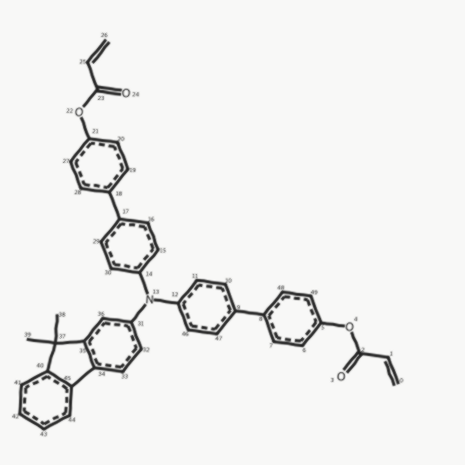 C=CC(=O)Oc1ccc(-c2ccc(N(c3ccc(-c4ccc(OC(=O)C=C)cc4)cc3)c3ccc4c(c3)C(C)(C)c3ccccc3-4)cc2)cc1